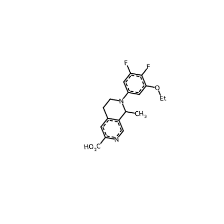 CCOc1cc(N2CCc3cc(C(=O)O)ncc3C2C)cc(F)c1F